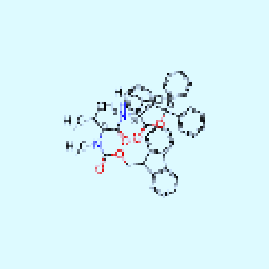 CC(C)[C@@H](C(=O)N[C@@H](C(=O)OC(c1ccccc1)(c1ccccc1)c1ccccc1)C(C)C)N(C)C(=O)OCC1c2ccccc2-c2ccccc21